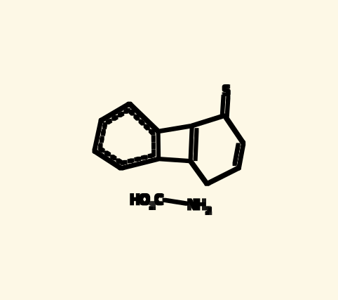 NC(=O)O.S=C1C=CCC2=C1c1ccccc12